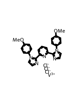 COc1ccc(-n2ccnc2-c2cccc(-c3nccn3-c3ccc(OC)cc3)n2)cc1.[Cl-].[Cl-].[Cl-].[V+3]